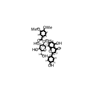 COc1ccc(C(=O)O[C@@H]2[C@@H](O)[C@H](O)[C@@H](CO)O[C@H]2c2c(O)cc(O)c3c(=O)cc(-c4ccc(O)cc4)oc23)cc1OC